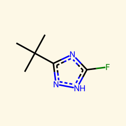 CC(C)(C)c1n[nH]c(F)n1